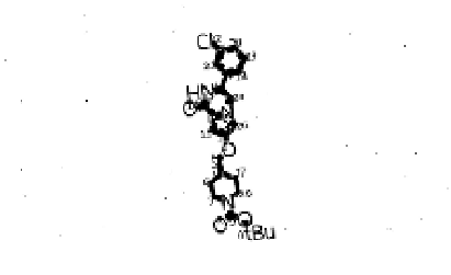 CC(C)(C)OC(=O)N1CCC(COc2cc3c(=O)[nH]c(-c4cccc(Cl)c4)cn3c2)CC1